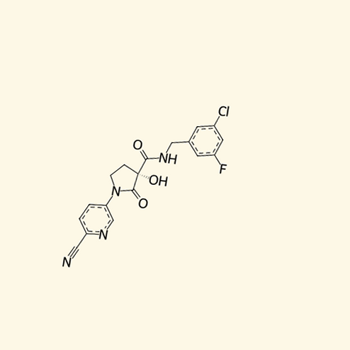 N#Cc1ccc(N2CC[C@@](O)(C(=O)NCc3cc(F)cc(Cl)c3)C2=O)cn1